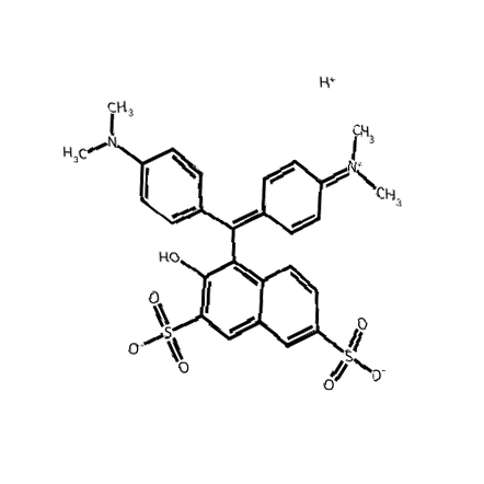 CN(C)c1ccc(C(=C2C=CC(=[N+](C)C)C=C2)c2c(O)c(S(=O)(=O)[O-])cc3cc(S(=O)(=O)[O-])ccc23)cc1.[H+]